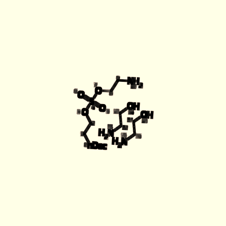 CCCCCCCCCCCCOS(=O)(=O)OCCN.NCCO.NCCO